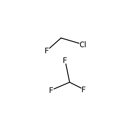 FC(F)F.FCCl